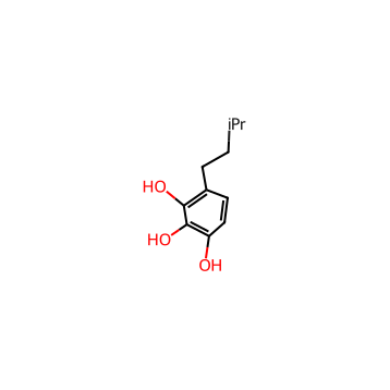 CC(C)CCc1ccc(O)c(O)c1O